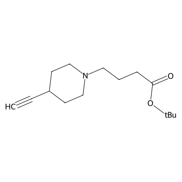 C#CC1CCN(CCCC(=O)OC(C)(C)C)CC1